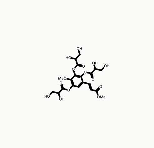 COC(=O)C=Cc1cc(OC(=O)C(O)CO)c(OC)c(OC(=O)C(O)CO)c1OC(=O)C(O)CO